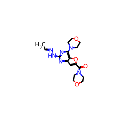 C/C=N/Nc1nc(N2CCOCC2)c2oc(C(=O)N3CCOCC3)cc2n1